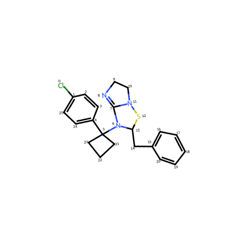 Clc1ccc(C2(N3C4=NCCN4SC3Cc3ccccc3)CCC2)cc1